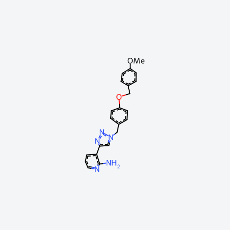 COc1ccc(COc2ccc(Cn3cc(-c4cccnc4N)nn3)cc2)cc1